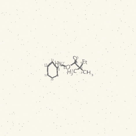 CCC(C)(C)C(=O)ONC1CCCCC1